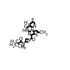 Cc1cc2nc(N[C@@H](C)c3cncc(F)c3)nc(C(=O)N3CC(NC(=O)C(C)(C)C)C3)c2s1